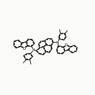 Cc1ccc(N(c2ccc3ccc4c(N(c5ccc(C)c(C)c5)c5cccc6c5oc5ccccc56)ccc5ccc2c3c54)c2cccc3c2oc2ccccc23)cc1C